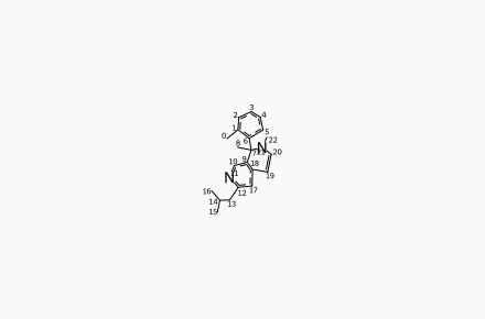 Cc1ccccc1C1(C)c2cnc(CC(C)C)cc2C=CN1C